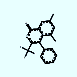 Cc1cc(C)c2c(-c3ccccc3)c(C(F)(F)F)oc(=O)c2c1